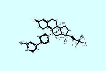 Cc1cc(-c2ccc([C@H]3C[C@@]4(C)[C@@H](CC[C@@]4(O)C#CC(C)(C)C)[C@@H]4CCC5=CC(=O)CCC5=C43)cc2)ccn1